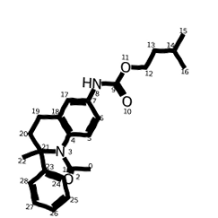 CC(=O)N1c2ccc(NC(=O)OCCC(C)C)cc2CCC1(C)c1ccccc1